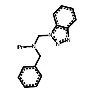 CC(C)N(Cc1ccccc1)Cn1nnc2ccccc21